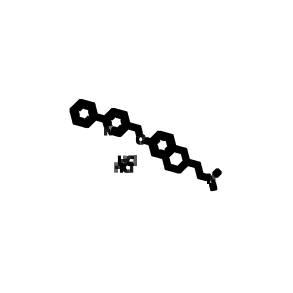 CN(C)CCC1CCc2cc(OCc3ccc(-c4ccccc4)nc3)ccc2C1.Cl.Cl